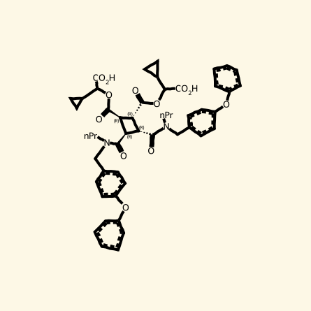 CCCN(Cc1ccc(Oc2ccccc2)cc1)C(=O)[C@H]1[C@@H](C(=O)OC(C(=O)O)C2CC2)[C@H](C(=O)OC(C(=O)O)C2CC2)[C@@H]1C(=O)N(CCC)Cc1ccc(Oc2ccccc2)cc1